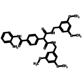 COc1cc(CNC(=O)C(C(=O)NCc2cc(OC)cc(OC)c2)c2ccc(C(=O)Nc3ccccc3N)cc2)cc(OC)c1